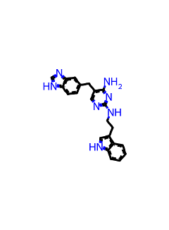 Nc1nc(NCCc2c[nH]c3ccccc23)ncc1Cc1ccc2[nH]cnc2c1